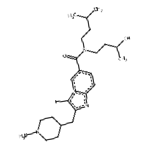 BN1CCC(Cc2nc3ccc(C(=O)N(CCC(C)C)CCC(C)C)cn3c2I)CC1